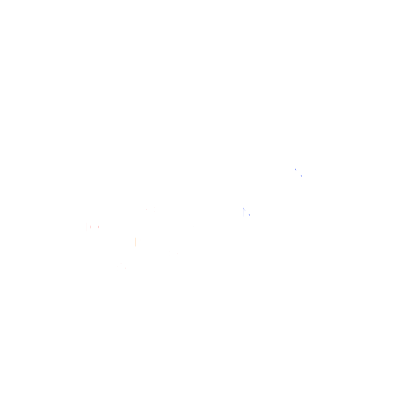 CCN1CCN(CCOP(=O)(O)O)CC1